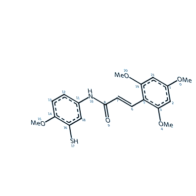 COc1cc(OC)c(/C=C/C(=O)Nc2ccc(OC)c(S)c2)c(OC)c1